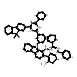 CC1(C)c2ccccc2-c2ccc(-c3nc(-c4ccccc4)nc(-c4cccc(-n5c6ccccc6c6ccc(C7=C(N)CCC=C7)c(NN/C(=N\Cc7ccccc7)c7ccccc7)c65)c4)n3)cc21